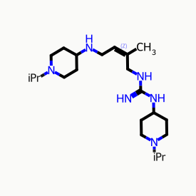 C/C(=C/CNC1CCN(C(C)C)CC1)CNC(=N)NC1CCN(C(C)C)CC1